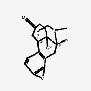 CN1CC[C@]23CC(=O)CCC2(O)[C@H]1Cc1c3ccc2c1O2